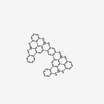 c1ccc2c(c1)SB1Sc3cccc4c3-c3c1c-2cc1c3B(Sc2cc3c(cc2-1)-c1cc2c5c6c1B(S3)Sc1cccc(c1-6)SB5Sc1ccccc1-2)S4